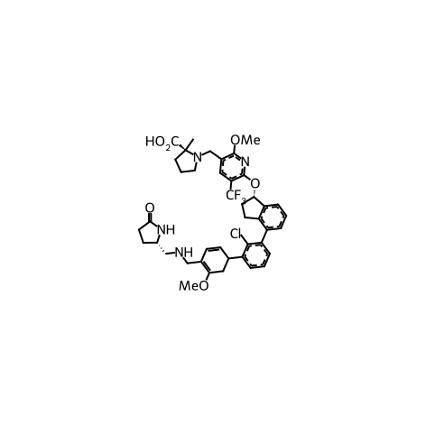 COC1=C(CNC[C@@H]2CCC(=O)N2)C=CC(c2cccc(-c3cccc4c3CC[C@@H]4Oc3nc(OC)c(CN4CCC[C@@]4(C)C(=O)O)cc3C(F)(F)F)c2Cl)C1